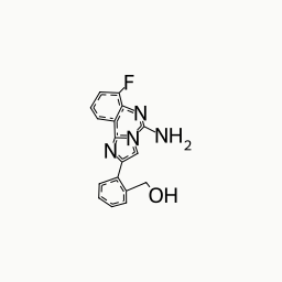 Nc1nc2c(F)cccc2c2nc(-c3ccccc3CO)cn12